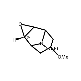 CCOC(=O)N1C2CC(OC)CC1[C@@H]1OC21